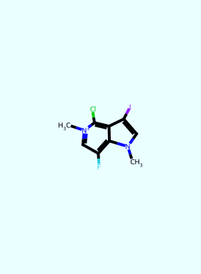 Cn1cc(I)c2c(Cl)[n+](C)cc(F)c21